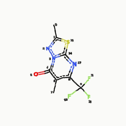 Cc1nn2c(=O)c(C)c(C(F)(F)F)nc2s1